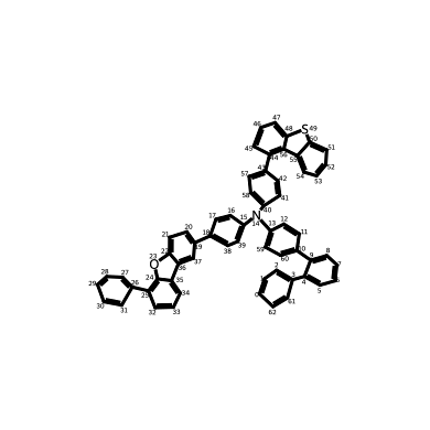 c1ccc(-c2ccccc2-c2ccc(N(c3ccc(-c4ccc5oc6c(-c7ccccc7)cccc6c5c4)cc3)c3ccc(-c4cccc5sc6ccccc6c45)cc3)cc2)cc1